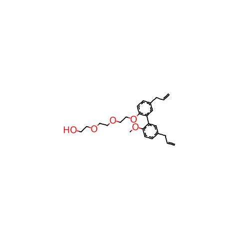 C=CCc1ccc(OC)c(-c2cc(CC=C)ccc2OCCOCCOCCO)c1